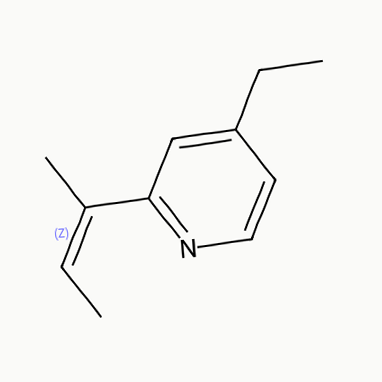 C/C=C(/C)c1cc(CC)ccn1